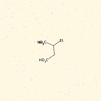 CCC(CC(=O)O)C(=O)O.N